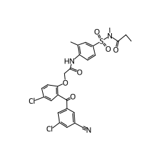 CCC(=O)N(C)S(=O)(=O)c1ccc(NC(=O)COc2ccc(Cl)cc2C(=O)c2cc(Cl)cc(C#N)c2)c(C)c1